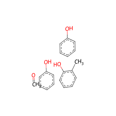 C=O.Cc1ccccc1O.Oc1ccccc1.Oc1ccccc1